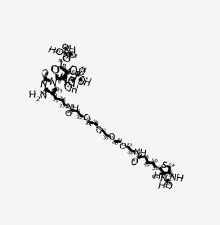 Nc1nc(=O)n([C@@H]2O[C@H](COP(=O)(O)O)[C@H](OP(=O)(O)O)[C@@H]2O)cc1CCCNC(=O)CCOCCOCCOCCOCCNC(=O)CCCC[C@@H]1SCC2NC(=O)N[C@@H]21